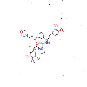 CC[C@H](C(=O)N1CCCC[C@H]1C(=O)N[C@H](CCc1ccc(OC)c(OC)c1)c1cccc(OCCN2CCOCC2)c1)c1cc(OC)c(OC)c(OC)c1